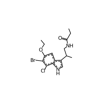 CCOc1cc2c(C(C)CNC(=O)CC)c[nH]c2c(Cl)c1Br